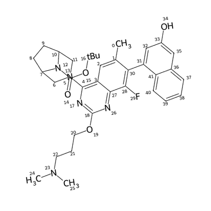 Cc1cc2c(N3CC4CCC(C3)N4C(=O)OC(C)(C)C)nc(OCCCN(C)C)nc2c(F)c1-c1cc(O)cc2ccccc12